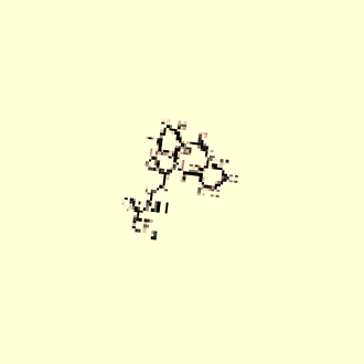 O=C(CCNC(=O)C(F)(F)F)N1Cc2ccccc2C#Cc2ccccc21